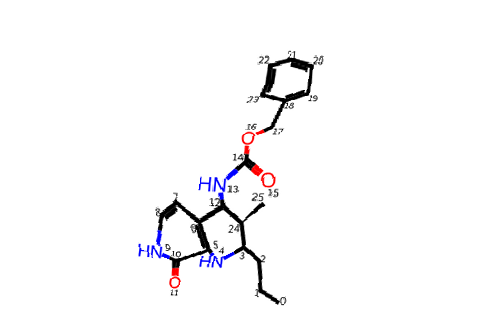 CCCC1Nc2c(cc[nH]c2=O)C(NC(=O)OCc2ccccc2)[C@H]1C